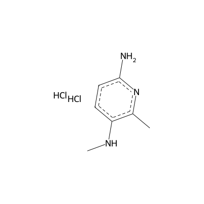 CNc1ccc(N)nc1C.Cl.Cl